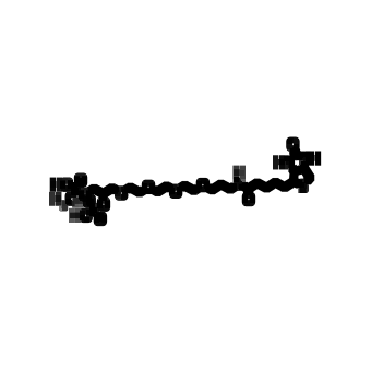 CP(=O)(O)OCC(COCCOCCOCCOCCCNC(=O)CCCCC1SCC2NC(=O)NC21)OP(=O)(O)O